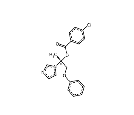 C[C@](COc1ccccc1)(OC(=O)c1ccc(Cl)cc1)n1ccnc1